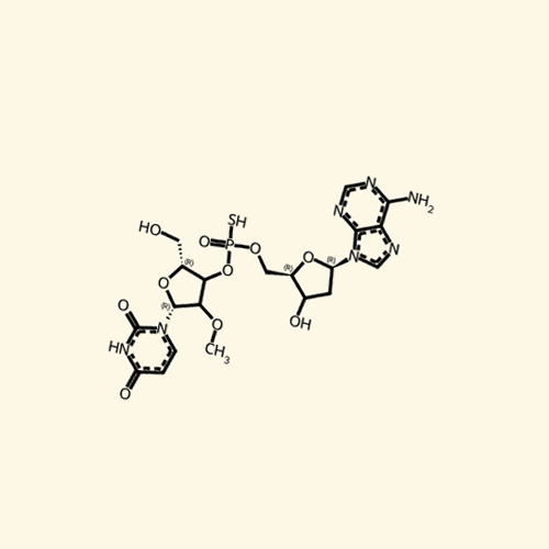 COC1C(OP(=O)(S)OC[C@H]2O[C@@H](n3cnc4c(N)ncnc43)CC2O)[C@@H](CO)O[C@H]1n1ccc(=O)[nH]c1=O